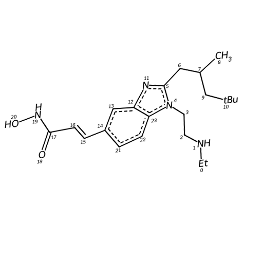 CCNCCn1c(CC(C)CC(C)(C)C)nc2cc(C=CC(=O)NO)ccc21